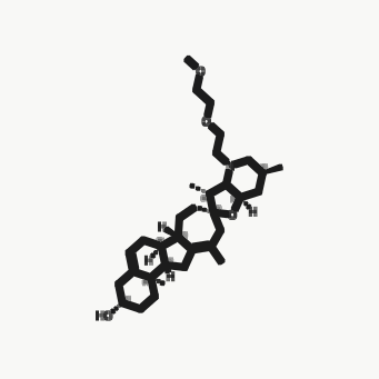 COCCOCCN1C[C@@H](C)C[C@H]2O[C@]3(CC[C@@H]4C(=C(C)C3)C[C@H]3[C@H]4CC=C4C[C@@H](O)CC[C@@]43C)[C@H](C)C21